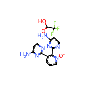 Nc1ccnc(-c2ccc[n+]([O-])c2-c2nccc(N)n2)n1.O=C(O)C(F)(F)F